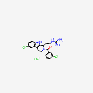 Cl.N=C(N)NCCC1c2[nH]c3ccc(Cl)cc3c2CCN1C(=O)c1cccc(Cl)c1